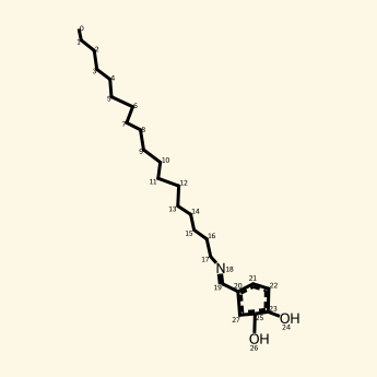 CCCCCCCCCCCCCCCCCCN=Cc1ccc(O)c(O)c1